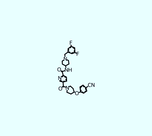 N#Cc1ccc(OC2CCN(C(=O)c3ccc(C(=O)NC4CCN(Cc5cc(F)cc(F)c5)CC4)nc3)CC2)cc1